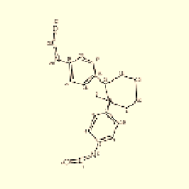 CC1(c2ccc(N=C=O)cc2)CCCCC1c1ccc(N=C=O)cc1